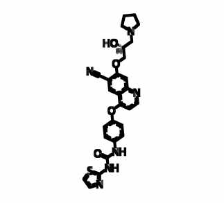 N#Cc1cc2c(Oc3ccc(NC(=O)Nc4nccs4)cc3)ccnc2cc1OC[C@H](O)CN1CCCC1